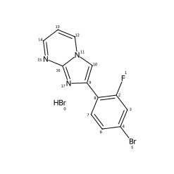 Br.Fc1cc(Br)ccc1-c1cn2cccnc2n1